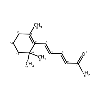 CC1=C(C=CC=CC(N)=O)C(C)(C)CCC1